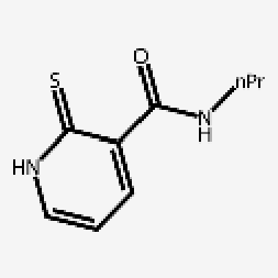 CCCNC(=O)c1ccc[nH]c1=S